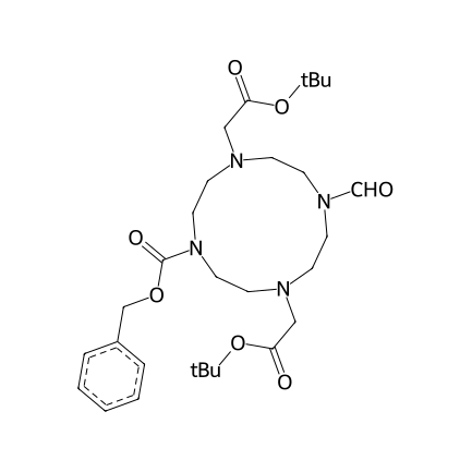 CC(C)(C)OC(=O)CN1CCN(C=O)CCN(CC(=O)OC(C)(C)C)CCN(C(=O)OCc2ccccc2)CC1